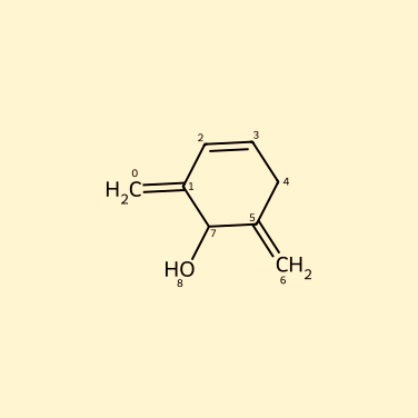 C=C1C=CCC(=C)C1O